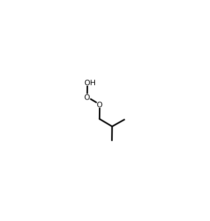 CC(C)COOO